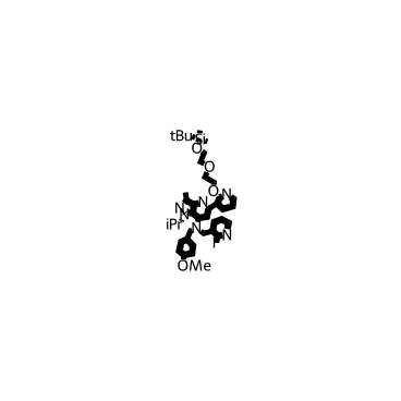 COc1ccc(CN(Cc2cccnc2F)c2cc(-c3cccnc3OCCOCCO[Si](C)(C)C(C)(C)C)nc3c(C)nn(C(C)C)c23)cc1